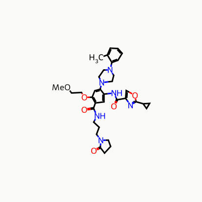 COCCOc1cc(N2CCN(c3ccccc3C)CC2)c(NC(=O)c2coc(C3CC3)n2)cc1C(=O)NCCCN1CCCC1=O